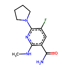 CNc1nc(N2CCCC2)c(F)cc1C(N)=O